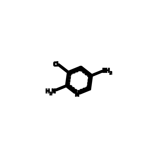 Bc1cnc(N)c(Cl)c1